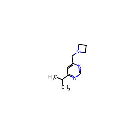 CC(C)c1cc(CN2CCC2)ncn1